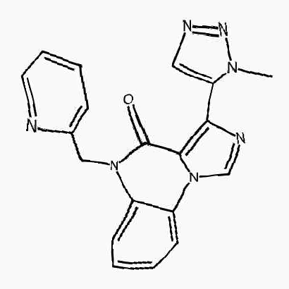 Cn1nncc1-c1ncn2c1c(=O)n(Cc1ccccn1)c1ccccc12